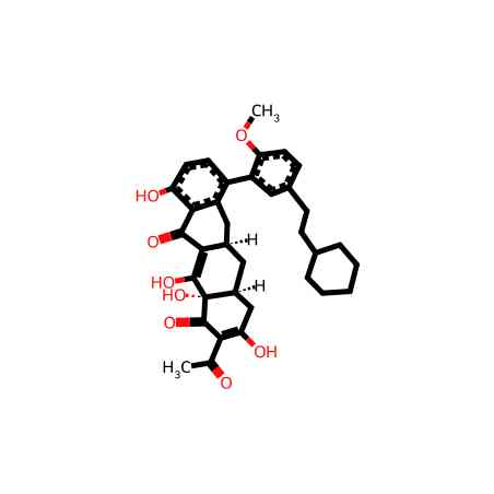 COc1ccc(CCC2CCCCC2)cc1-c1ccc(O)c2c1C[C@H]1C[C@H]3CC(O)=C(C(C)=O)C(=O)[C@@]3(O)C(O)=C1C2=O